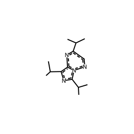 CC(C)c1cnn2c(C(C)C)nc(C(C)C)c2n1